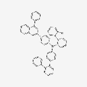 c1ccc(-c2ccccc2-c2ccc(N(c3ccc(-c4cc(-c5ccccc5)c5ccccc5c4)cc3)c3cccc4oc5ccccc5c34)cc2)cc1